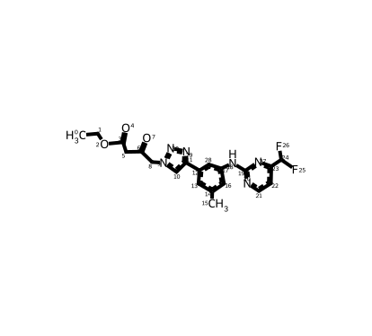 CCOC(=O)CC(=O)Cn1cc(-c2cc(C)cc(Nc3nccc(C(F)F)n3)c2)nn1